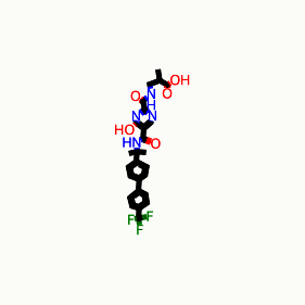 CC(CNC(=O)c1ncc(C(=O)NC(C)(C)c2ccc(-c3ccc(C(F)(F)F)cc3)cc2)c(O)n1)C(=O)O